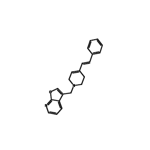 C1=C(/C=C/c2ccccc2)CCN(Cc2coc3ncccc23)C1